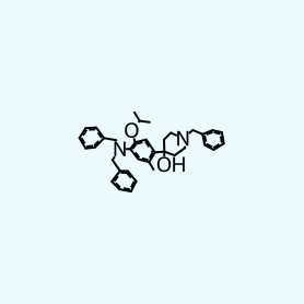 Cc1cc(N(Cc2ccccc2)Cc2ccccc2)c(OC(C)C)cc1C1(O)CCN(Cc2ccccc2)CC1